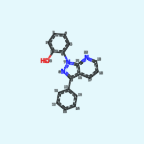 Oc1ccccc1-n1nc(-c2ccccc2)c2cccnc21